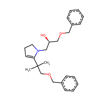 CC(C)(COCc1ccccc1)C1=CCCN1C[C@@H](O)COCc1ccccc1